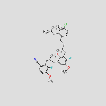 COc1ccc(C#N)c(CC(C)Cc2cc(OC)c(F)c(CCCCc3ccc(Cl)c(C)c3CC(C)C)c2OC)c1F